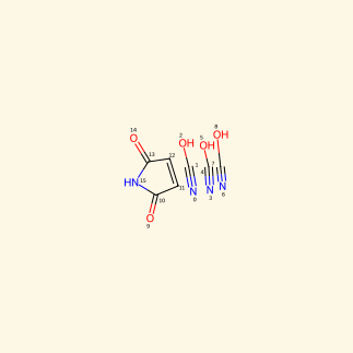 N#CO.N#CO.N#CO.O=C1C=CC(=O)N1